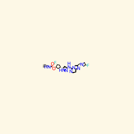 CC(C)NC(=O)O[C@H]1C[C@@H](c2cc(Nc3nccc4nc(CN5CC(F)C5)cn34)n[nH]2)C[C@H]1F